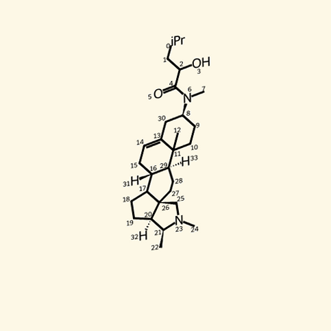 CC(C)CC(O)C(=O)N(C)[C@H]1CCC2(C)C(=CC[C@H]3C4CC[C@@H]5[C@H](C)N(C)C[C@]45CC[C@@H]32)C1